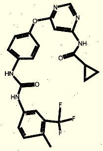 Cc1ccc(NC(=O)Nc2ccc(Oc3cc(NC(=O)C4CC4)ncn3)cc2)cc1C(F)(F)F